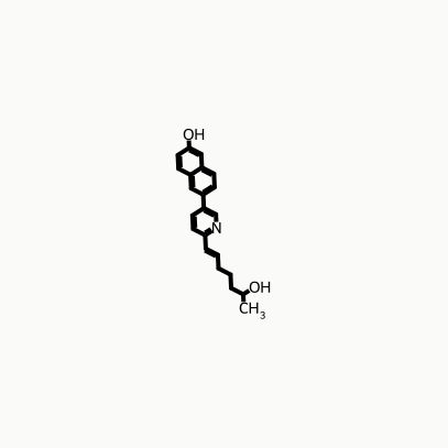 CC(O)CCC/C=C/c1ccc(-c2ccc3cc(O)ccc3c2)cn1